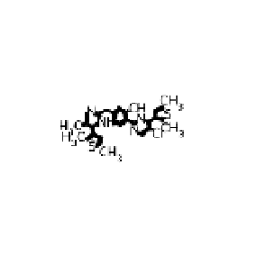 CC1=CN=C(Cc2ccc(C3=NC=C(Cl)C(c4cc(C)sc4C)N3)c(Cl)c2)NC1c1cc(C)sc1C